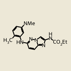 CCOC(=O)Nc1cn2nc(Nc3cc(NC)ccc3C)ccc2n1